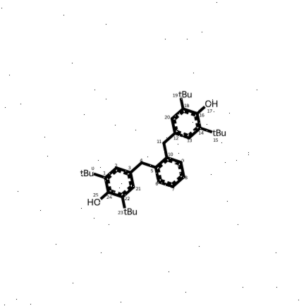 CC(C)(C)c1cc(Cc2ccccc2Cc2cc(C(C)(C)C)c(O)c(C(C)(C)C)c2)cc(C(C)(C)C)c1O